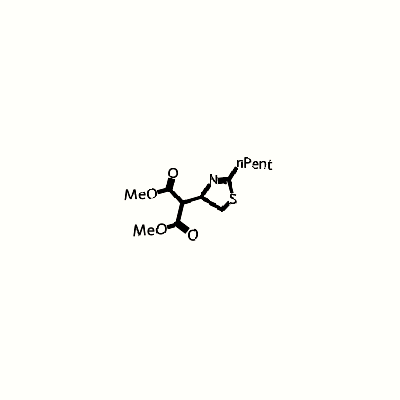 CCCCCC1=NC(C(C(=O)OC)C(=O)OC)CS1